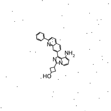 Nc1cccn2c(C3CC(O)C3)nc(-c3ccc4ccc(-c5ccccc5)nc4c3)c12